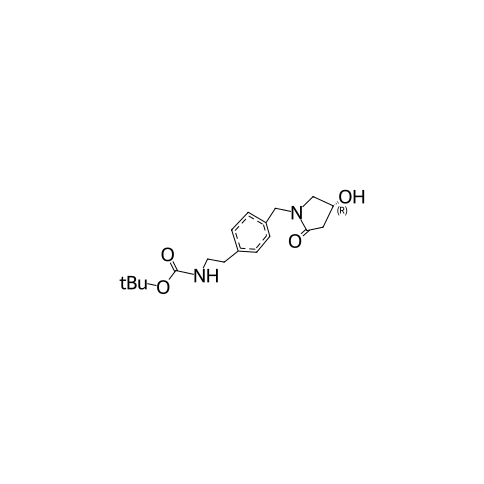 CC(C)(C)OC(=O)NCCc1ccc(CN2C[C@H](O)CC2=O)cc1